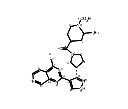 CC(C)(C)C1CC(C(=O)N2CC[C@H](c3n[nH]cc3-c3nc(O)c4ccncc4n3)C2)CCN1C(=O)O